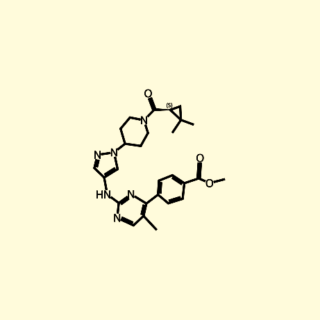 COC(=O)c1ccc(-c2nc(Nc3cnn(C4CCN(C(=O)[C@H]5CC5(C)C)CC4)c3)ncc2C)cc1